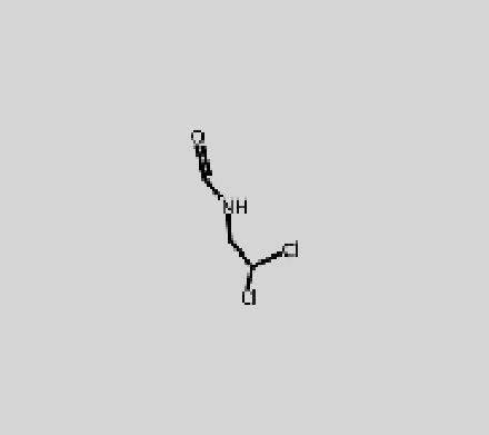 O=CNCC(Cl)Cl